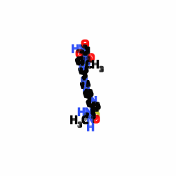 C[C@@H]1CNc2c(sc3ccc4nc(-c5ccc(N6CCN(CCC7CCN(c8cccc9c8n(C)c(=O)n9C8CCC(=O)NC8=O)CC7)CC6)cc5)ccc4c23)C(=O)N1